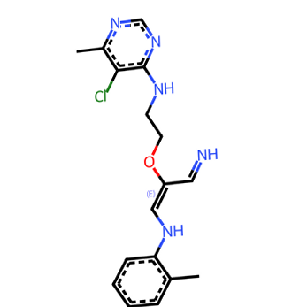 Cc1ccccc1N/C=C(\C=N)OCCNc1ncnc(C)c1Cl